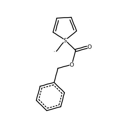 [CH2]S1(C(=O)OCc2ccccc2)C=CC=C1